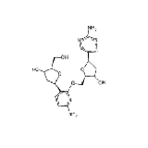 Nc1ccc([C@H]2CC(O)[C@@H](CO)O2)c(OC[C@H]2O[C@@H](c3cnc(N)nc3)CC2O)n1